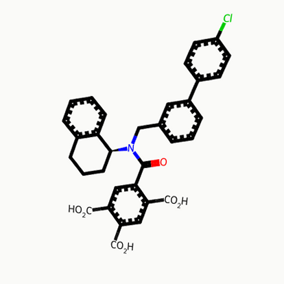 O=C(O)c1cc(C(=O)O)c(C(=O)N(Cc2cccc(-c3ccc(Cl)cc3)c2)[C@H]2CCCc3ccccc32)cc1C(=O)O